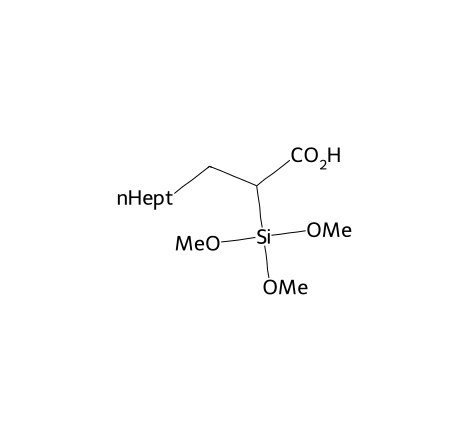 CCCCCCCCC(C(=O)O)[Si](OC)(OC)OC